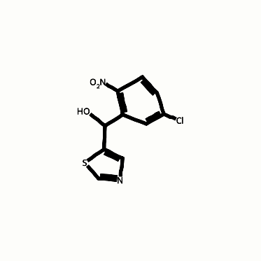 O=[N+]([O-])c1ccc(Cl)cc1C(O)c1cncs1